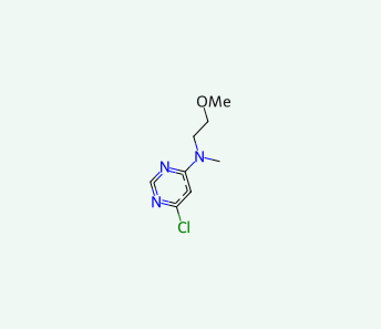 COCCN(C)c1cc(Cl)ncn1